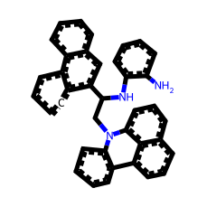 Nc1ccccc1NC(CN1c2ccccc2-c2cccc3cccc1c23)c1cc2ccccc2c2ccccc12